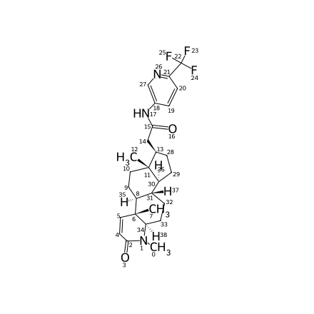 CN1C(=O)C=C[C@]2(C)[C@H]3CC[C@]4(C)[C@@H](CC(=O)Nc5ccc(C(F)(F)F)nc5)CC[C@H]4[C@@H]3CC[C@@H]12